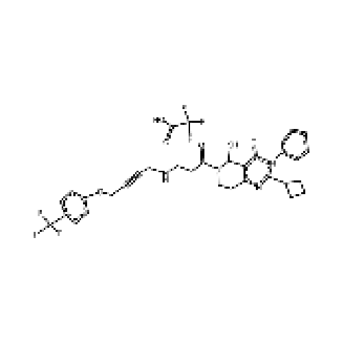 O=C(CCNCC#CCOc1ccc(C(F)(F)F)cc1)N1CCc2nc(C3CCC3)n(-c3ccccc3)c(=O)c2C1S.O=C(O)C(F)(F)F